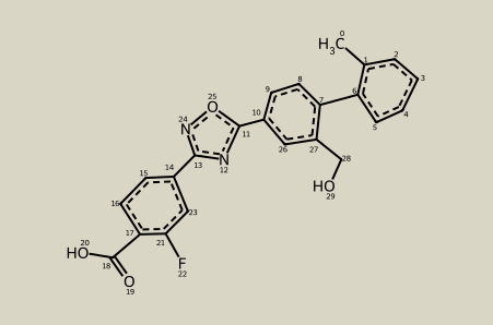 Cc1ccccc1-c1ccc(-c2nc(-c3ccc(C(=O)O)c(F)c3)no2)cc1CO